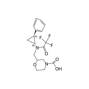 O=C(O)N1CCOC(CN(C(=O)C(F)(F)F)[C@@H]2C[C@H]2c2ccccc2)C1